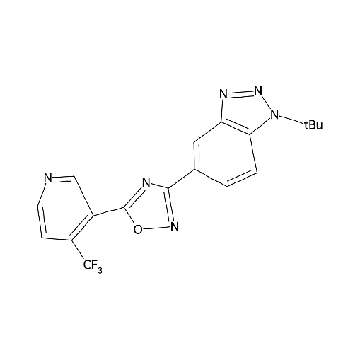 CC(C)(C)n1nnc2cc(-c3noc(-c4cnccc4C(F)(F)F)n3)ccc21